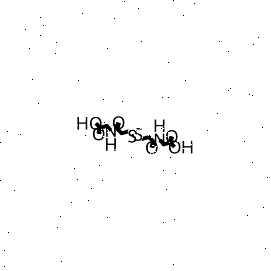 O=C(O)CNC(=O)CCSSCCC(=O)NCC(=O)O